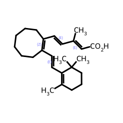 CC1=C(/C=C/C2=C(\C=C\C(C)=C\C(=O)O)CCCCCC2)C(C)(C)CCC1